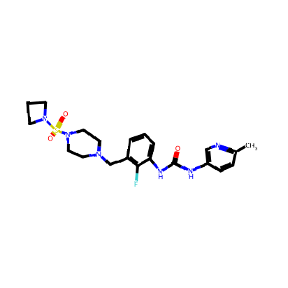 Cc1ccc(NC(=O)Nc2cccc(CN3CCN(S(=O)(=O)N4CCC4)CC3)c2F)cn1